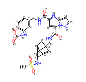 CS(=O)(=O)NC12CC34C1=CC3(CNC(=O)c1cc(C(=O)NCc3ccc5oc(=O)[nH]c5c3)nc3ccnn13)CC24